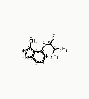 Cc1n[nH]c2ccnc(OC(C)C(C)C)c12